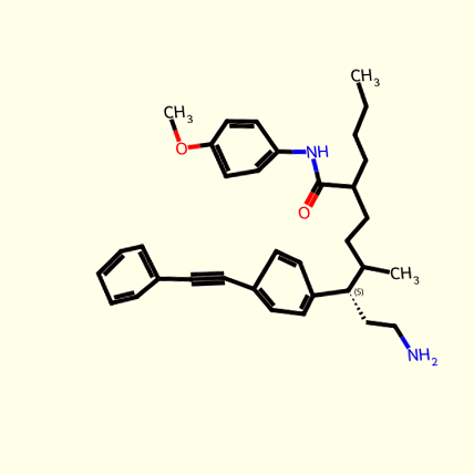 CCCCC(CCC(C)[C@H](CCN)c1ccc(C#Cc2ccccc2)cc1)C(=O)Nc1ccc(OC)cc1